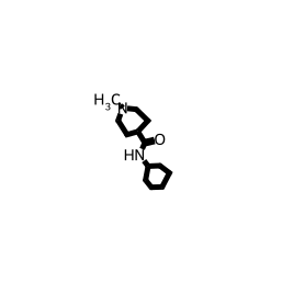 CN1CCC(C(=O)NC2CCCCC2)CC1